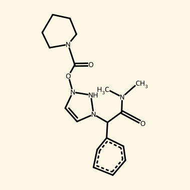 CN(C)C(=O)C(c1ccccc1)N1C=CN(OC(=O)N2CCCCC2)N1